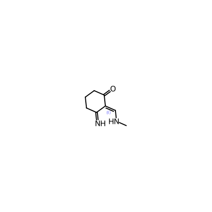 CN/C=C1\C(=N)CCCC1=O